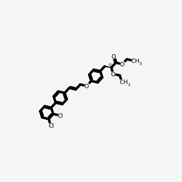 CCOC(=O)[C@H](Cc1ccc(OCC=Cc2ccc(-c3cccc(Cl)c3Cl)cc2)cc1)OCC